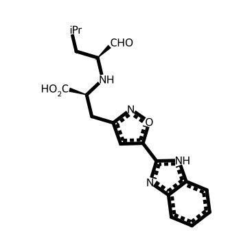 CC(C)C[C@@H](C=O)N[C@@H](Cc1cc(-c2nc3ccccc3[nH]2)on1)C(=O)O